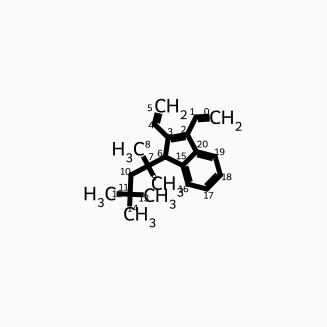 C=CC1=C(C=C)C(C(C)(C)CC(C)(C)C)c2ccccc21